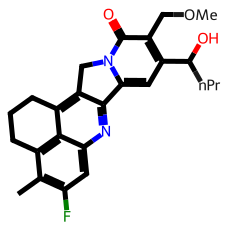 CCCC(O)c1cc2n(c(=O)c1COC)Cc1c-2nc2cc(F)c(C)c3c2c1CCC3